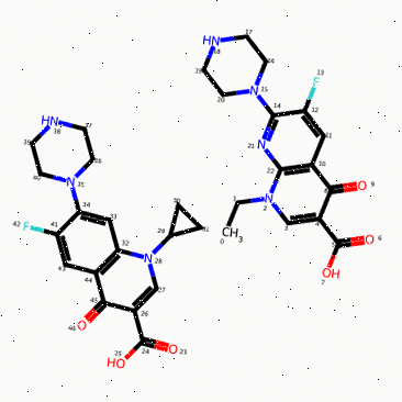 CCn1cc(C(=O)O)c(=O)c2cc(F)c(N3CCNCC3)nc21.O=C(O)c1cn(C2CC2)c2cc(N3CCNCC3)c(F)cc2c1=O